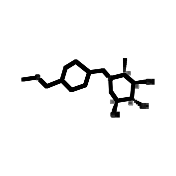 COCC1CCC(CN2C[C@H](O)[C@@H](O)[C@H](O)[C@H]2C)CC1